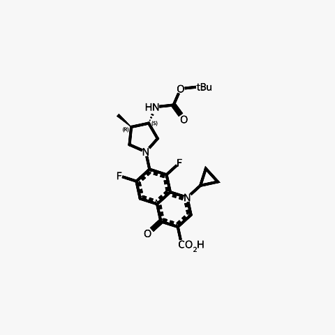 C[C@@H]1CN(c2c(F)cc3c(=O)c(C(=O)O)cn(C4CC4)c3c2F)C[C@H]1NC(=O)OC(C)(C)C